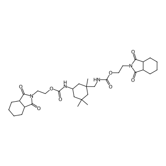 CC1(C)CC(NC(=O)OCCN2C(=O)C3CCCCC3C2=O)CC(C)(CNC(=O)OCCN2C(=O)C3CCCCC3C2=O)C1